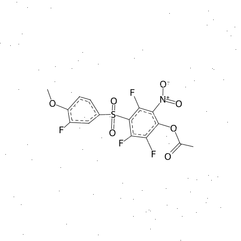 COc1ccc(S(=O)(=O)c2c(F)c(F)c(OC(C)=O)c([N+](=O)[O-])c2F)cc1F